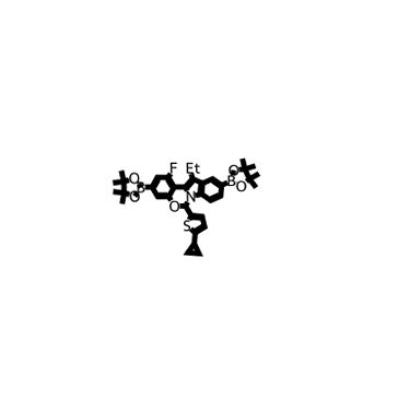 CCc1c2n(c3ccc(B4OC(C)(C)C(C)(C)O4)cc13)C(c1ccc(C3CC3)s1)Oc1cc(B3OC(C)(C)C(C)(C)O3)cc(F)c1-2